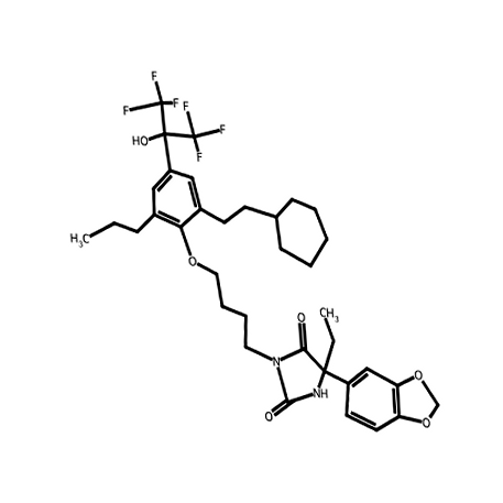 CCCc1cc(C(O)(C(F)(F)F)C(F)(F)F)cc(CCC2CCCCC2)c1OCCCCN1C(=O)NC(CC)(c2ccc3c(c2)OCO3)C1=O